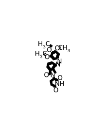 CCOc1c(OC)cc(/N=N\c2cccc3c2CN(C2CCC(=O)NC2=O)C3=O)cc1OC